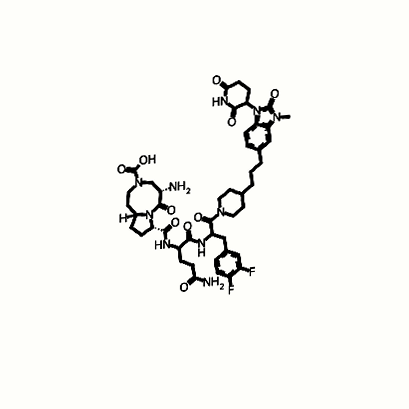 Cn1c(=O)n(C2CCC(=O)NC2=O)c2ccc(CCCC3CCN(C(=O)C(Cc4ccc(F)c(F)c4)NC(=O)C(CCC(N)=O)NC(=O)[C@@H]4CC[C@@H]5CCN(C(=O)O)C[C@H](N)C(=O)N54)CC3)cc21